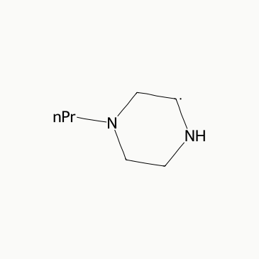 CCCN1C[CH]NCC1